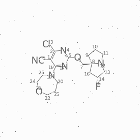 N#Cc1c(Cl)nc(OC[C@@]23CCCN2C[C@H](F)C3)nc1N1CCCOCC1